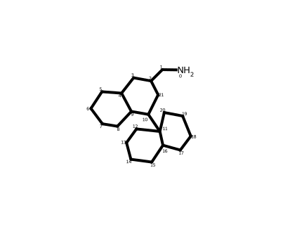 NCC1CC2CCCCC2C(C23CCCCC2CCCC3)C1